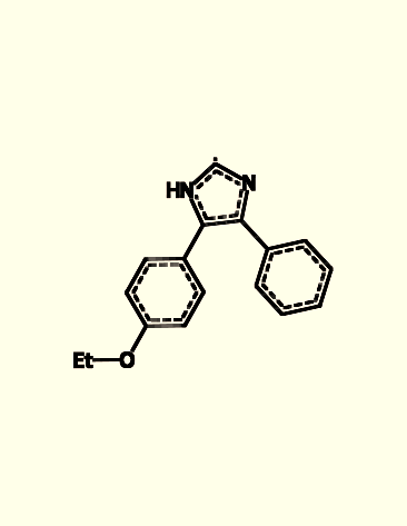 CCOc1ccc(-c2[nH][c]nc2-c2ccccc2)cc1